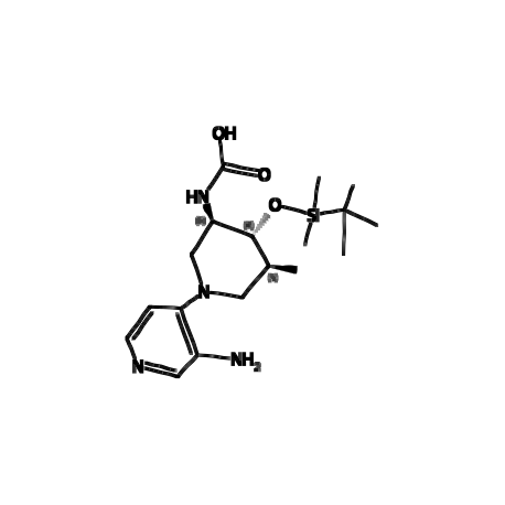 C[C@H]1CN(c2ccncc2N)C[C@@H](NC(=O)O)[C@@H]1O[Si](C)(C)C(C)(C)C